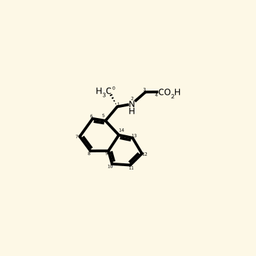 C[C@H](NCC(=O)O)c1cccc2ccccc12